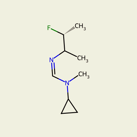 CC(/N=C\N(C)C1CC1)[C@@H](C)F